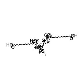 CSC(=O)[C@H](CCCCNC(=O)CC[C@H](NC(=O)CCCCCCCCCCCCCCC(=O)O)C(=O)O)NC(=O)CC[C@H](NC(=O)CCCCCCCCCCCCCCC(=O)O)C(=O)O